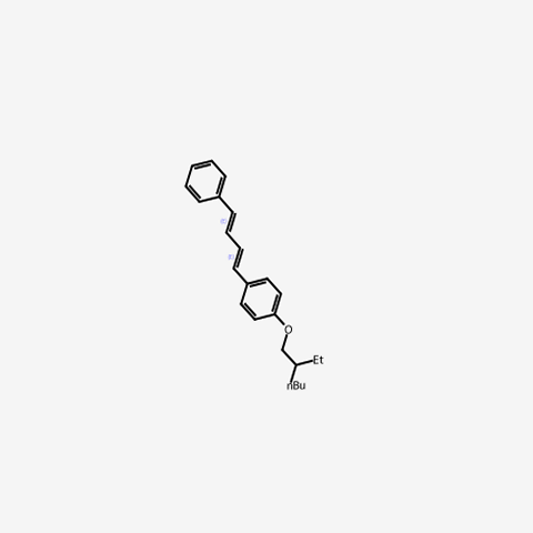 CCCCC(CC)COc1ccc(/C=C/C=C/c2ccccc2)cc1